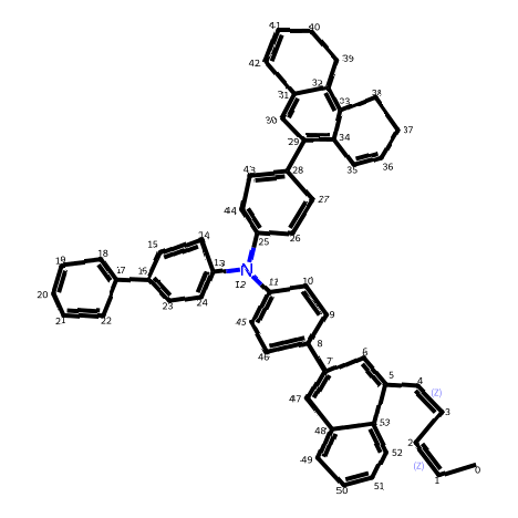 C/C=C\C=C/c1cc(-c2ccc(N(c3ccc(-c4ccccc4)cc3)c3ccc(-c4cc5c(c6c4C=CCC6)CCC=C5)cc3)cc2)cc2ccccc12